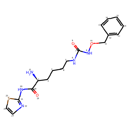 N[C@@H](CCCCNC(=O)NOCc1ccccc1)C(=O)Nc1nccs1